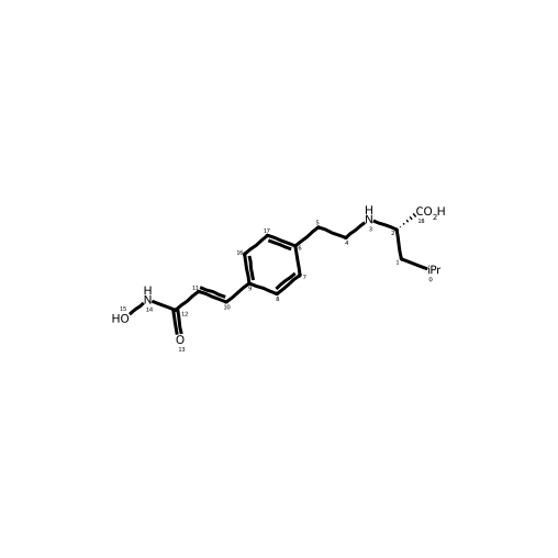 CC(C)C[C@H](NCCc1ccc(/C=C/C(=O)NO)cc1)C(=O)O